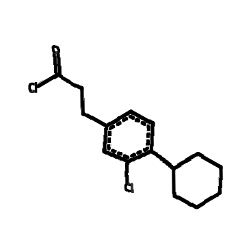 O=C(Cl)CCc1ccc(C2CCCCC2)c(Cl)c1